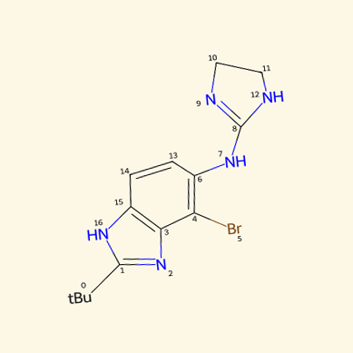 CC(C)(C)c1nc2c(Br)c(NC3=NCCN3)ccc2[nH]1